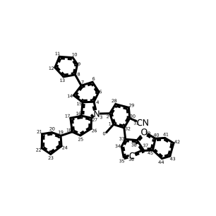 Cc1c(-n2c3ccc(-c4ccccc4)cc3c3cc(-c4ccccc4)ccc32)ccc(C#N)c1-c1cccc2c1oc1ccccc12